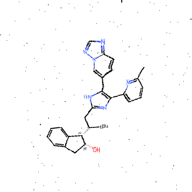 Cc1cccc(-c2nc(CC([C@H]3c4ccccc4C[C@H]3O)C(C)(C)C)[nH]c2-c2ccc3ncnn3c2)n1